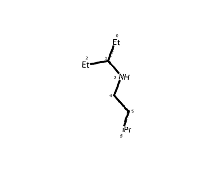 CCC(CC)NCCC(C)C